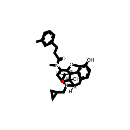 Cc1cccc(CCC(=O)N(C)C2CC[C@@]3(O)[C@H]4Cc5ccc(O)c6c5[C@@]3(C(O)CN4CC3CC3)C2O6)c1